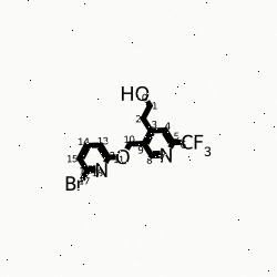 OCCc1cc(C(F)(F)F)ncc1COc1cccc(Br)n1